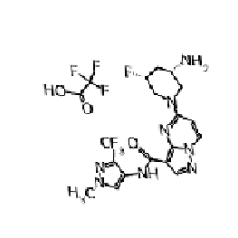 Cn1cc(NC(=O)c2cnn3ccc(N4C[C@@H](N)C[C@@H](F)C4)nc23)c(C(F)(F)F)n1.O=C(O)C(F)(F)F